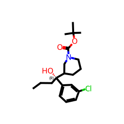 CCC[C@](O)(c1cccc(Cl)c1)C1CCCN(C(=O)OC(C)(C)C)C1